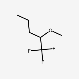 CCCC(OC)C(F)(F)F